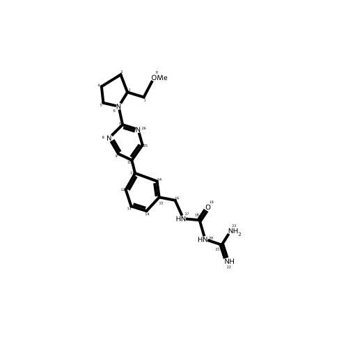 COCC1CCCN1c1ncc(-c2cccc(CNC(=O)NC(=N)N)c2)cn1